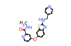 CNC(=O)c1cc(Oc2ccc3nc(NCc4ccncc4)sc3c2)ccn1